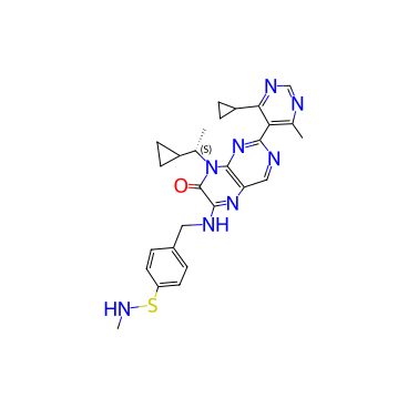 CNSc1ccc(CNc2nc3cnc(-c4c(C)ncnc4C4CC4)nc3n([C@@H](C)C3CC3)c2=O)cc1